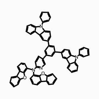 c1ccc(-n2c3ccccc3c3cc(-c4cc(-c5ccc(N(c6cccc7c6oc6ccccc67)c6cccc7c6oc6ccccc67)nc5)cc(-c5ccc6c(c5)c5ccccc5n6-c5ccccc5)c4)ccc32)cc1